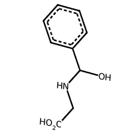 O=C(O)CNC(O)c1ccccc1